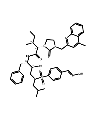 CC[C@H](C)[C@@H](C(=O)N[C@@H](Cc1ccccc1)[C@@H](O)CN(CC(C)C)S(=O)(=O)c1ccc(C=NO)cc1)N1CCN(Cc2cc(C)c3ccccc3n2)C1=O